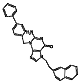 Nc1nc(=O)c2c(ncn2CCc2ccc3ccccc3c2)n1Cc1ccc(-c2ccccc2)cc1